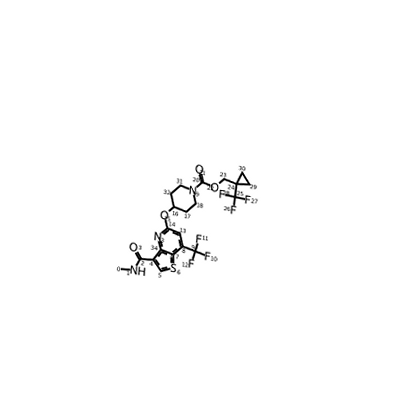 CNC(=O)c1csc2c(C(F)(F)F)cc(OC3CCN(C(=O)OCC4(C(F)(F)F)CC4)CC3)nc12